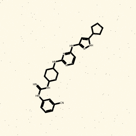 N#Cc1cccc(NC(=N)NC2CCC(Nc3nccc(Nc4cc(C5CCCC5)[nH]n4)n3)CC2)c1